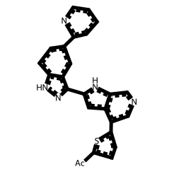 CC(=O)c1ccc(-c2cncc3[nH]c(-c4n[nH]c5ccc(-c6ccccn6)cc45)cc23)s1